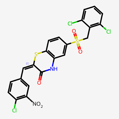 O=C1Nc2cc(S(=O)(=O)Cc3c(Cl)cccc3Cl)ccc2S/C1=C/c1ccc(Cl)c([N+](=O)[O-])c1